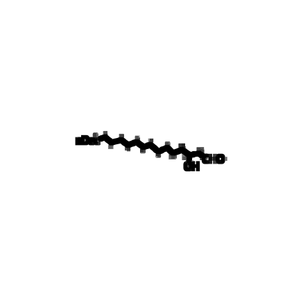 CCCCCCCCCCCCCCCCCCCCCC(O)C[C]=O